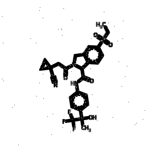 CCS(=O)(=O)c1ccc2c(c1)CN(C(=O)CC1(C#N)CC1)C2C(=O)Nc1ccc(C(C)(O)C(F)(F)F)cc1